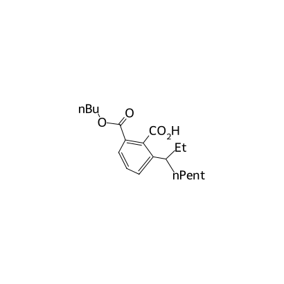 CCCCCC(CC)c1cccc(C(=O)OCCCC)c1C(=O)O